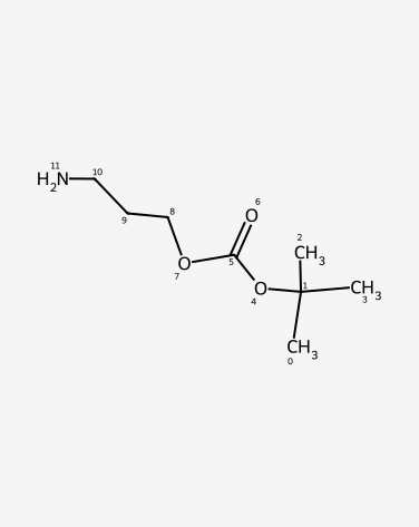 CC(C)(C)OC(=O)OCCCN